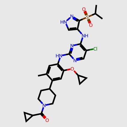 Cc1cc(Nc2ncc(Cl)c(Nc3c[nH]nc3S(=O)(=O)C(C)C)n2)c(OC2CC2)cc1C1CCN(C(=O)C2CC2)CC1